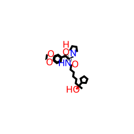 CC(O)(CCCCCC(=O)N[C@H](CN1CCCC1)[C@H](O)c1ccc2c(c1)OCCO2)C1CCCC1